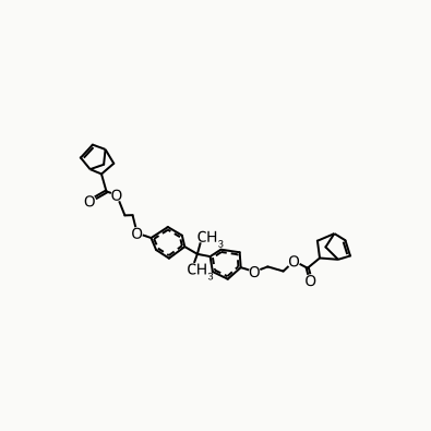 CC(C)(c1ccc(OCCOC(=O)C2CC3C=CC2C3)cc1)c1ccc(OCCOC(=O)C2CC3C=CC2C3)cc1